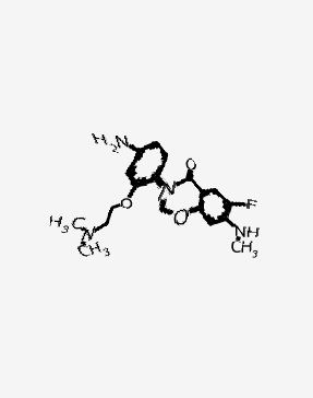 CNc1cc2c(cc1F)C(=O)N(c1ccc(N)cc1OCCN(C)C)CO2